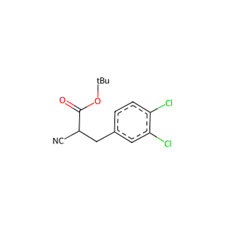 CC(C)(C)OC(=O)C(C#N)Cc1ccc(Cl)c(Cl)c1